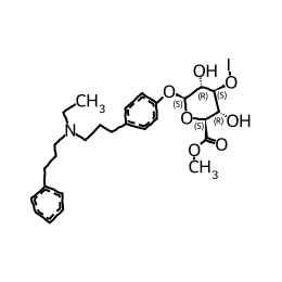 CCN(CCCc1ccccc1)CCCc1ccc(O[C@@H]2O[C@H](C(=O)OC)[C@@H](O)[C@H](OI)[C@H]2O)cc1